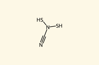 N#CN(S)S